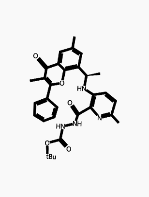 Cc1cc([C@@H](C)Nc2ccc(C)nc2C(=O)NNC(=O)OC(C)(C)C)c2oc(-c3ccccc3)c(C)c(=O)c2c1